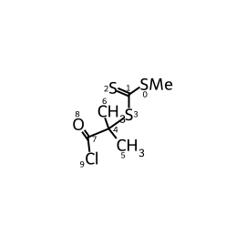 CSC(=S)SC(C)(C)C(=O)Cl